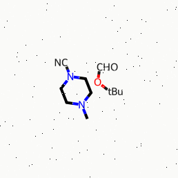 CC(C)(C)OC=O.CN1CCN(C#N)CC1